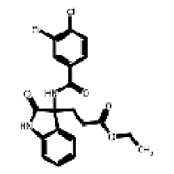 CCOC(=O)CCC1(NC(=O)c2ccc(Cl)c(Cl)c2)C(=O)Nc2ccccc21